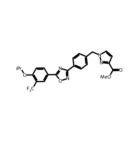 COC(=O)c1ccn(Cc2ccc(-c3noc(-c4ccc(OC(C)C)c(C(F)(F)F)c4)n3)cc2)n1